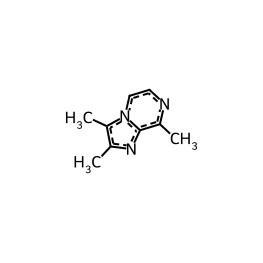 Cc1nc2c(C)nccn2c1C